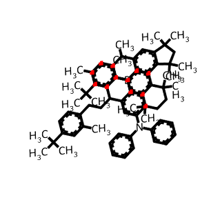 Cc1cc(C)c2c(c1)C(CCc1ccc(C(C)(C)C)cc1C)c1cc(N(c3ccccc3)c3ccccc3)ccc1B2c1cc2c(cc1C(C)c1ccc(C(C)(C)C)cc1-c1ccc3c(c1)C(C)(C)CCC3(C)C)C(C)(C)CC2(C)C